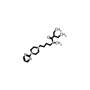 CCC(CC)C(=O)N(C)CCCCN1CCN(c2ncccn2)CC1